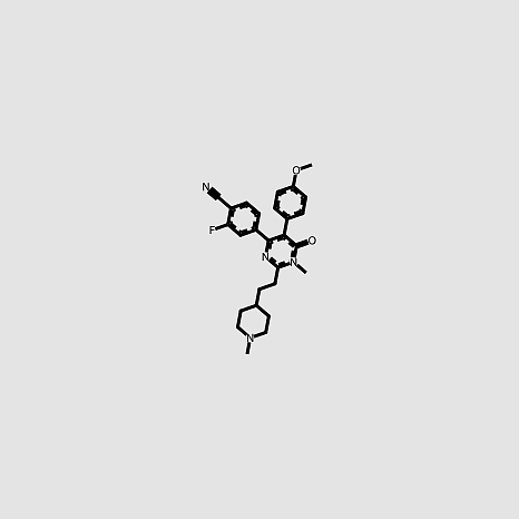 COc1ccc(-c2c(-c3ccc(C#N)c(F)c3)nc(CCC3CCN(C)CC3)n(C)c2=O)cc1